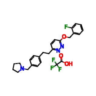 Fc1ccccc1COc1ccc(CCc2ccc(CN3CCCC3)cc2)nn1.O=C(O)C(F)(F)F